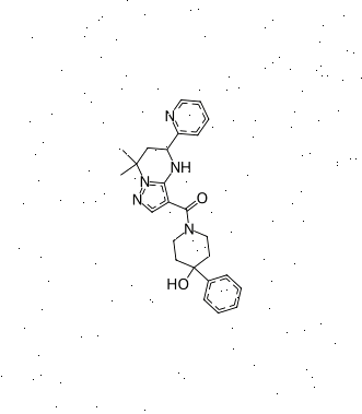 CC1(C)CC(c2ccccn2)Nc2c(C(=O)N3CCC(O)(c4ccccc4)CC3)cnn21